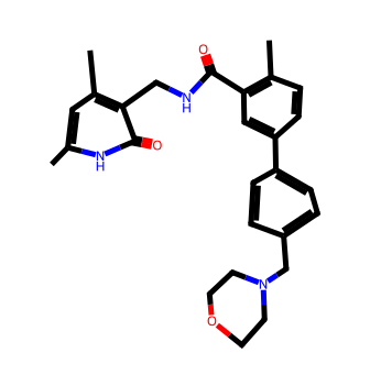 Cc1cc(C)c(CNC(=O)c2cc(-c3ccc(CN4CCOCC4)cc3)ccc2C)c(=O)[nH]1